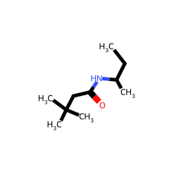 CCC(C)NC(=O)CC(C)(C)C